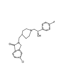 O=C1c2ccc(Cl)cc2CN1CC1CCN(C[C@H](O)c2ccc(F)cc2)CC1